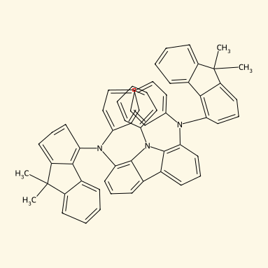 CC1(C)c2ccccc2-c2c(N(c3ccccc3)c3cccc4c5cccc(N(c6ccccc6)c6cccc7c6-c6ccccc6C7(C)C)c5n(-c5ccccc5)c34)cccc21